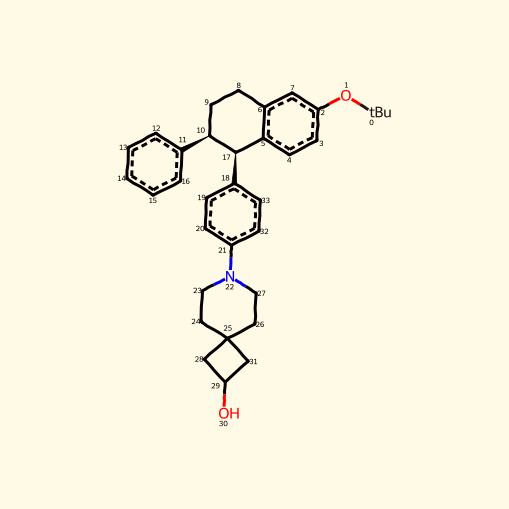 CC(C)(C)Oc1ccc2c(c1)CC[C@H](c1ccccc1)[C@@H]2c1ccc(N2CCC3(CC2)CC(O)C3)cc1